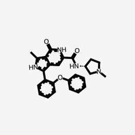 Cc1[nH]c(-c2ccccc2Oc2ccccc2)c2cc(C(=O)N[C@@H]3CCN(C)C3)[nH]c(=O)c12